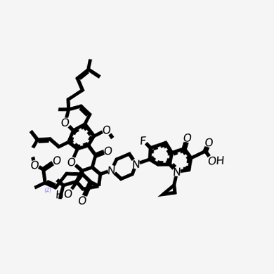 COC(=O)/C(C)=C\CC1(O)C(=O)C2CC(C(C)C)C13Oc1c(CC=C(C)C)c4c(c(OC)c1C(=O)C3C2N1CCN(c2cc3c(cc2F)c(=O)c(C(=O)O)cn3C2CC2)CC1)C=CC(C)(CCC=C(C)C)O4